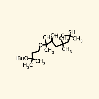 CC(C)COC(C)(C)CCOC(C)(C)C(=O)CC(C)(C)CC(C)(C)S